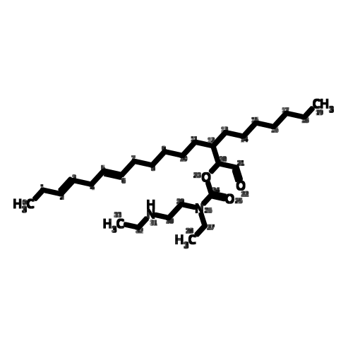 CCC=CCC=CCCCCCC(CCCCCCC)C(C=O)OC(=O)N(CC)CCNCC